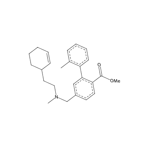 COC(=O)c1ccc(CN(C)CCC2C=CCCC2)cc1-c1ccccc1C